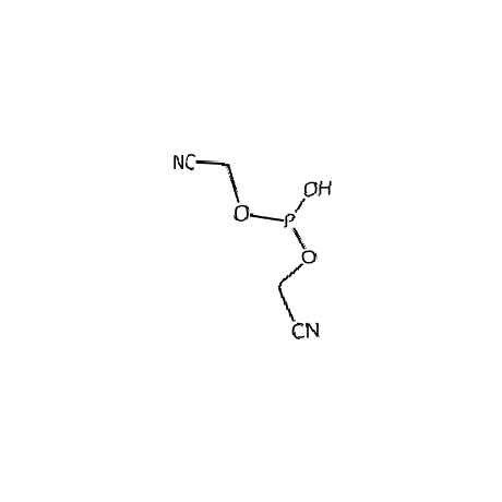 N#CCOP(O)OCC#N